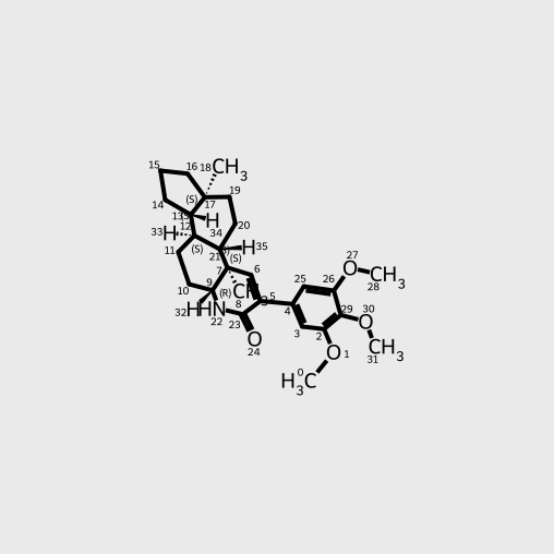 COc1cc(C2=C[C@@]3(C)[C@@H](CC[C@H]4[C@@H]5CCC[C@@]5(C)CC[C@@H]43)NC2=O)cc(OC)c1OC